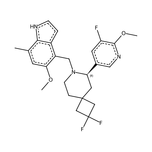 COc1cc(C)c2[nH]ccc2c1CN1CCC2(C[C@@H]1c1cnc(OC)c(F)c1)CC(F)(F)C2